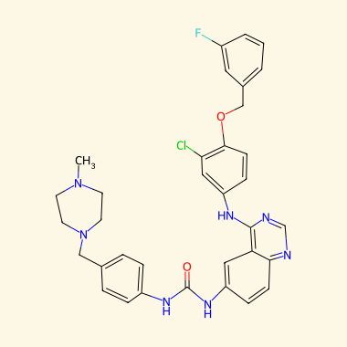 CN1CCN(Cc2ccc(NC(=O)Nc3ccc4ncnc(Nc5ccc(OCc6cccc(F)c6)c(Cl)c5)c4c3)cc2)CC1